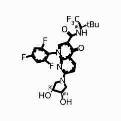 CC(C)(C)[C@@H](NC(=O)c1cn(-c2c(F)cc(F)cc2F)c2nc(N3C[C@@H](O)[C@H](O)C3)ccc2c1=O)C(F)(F)F